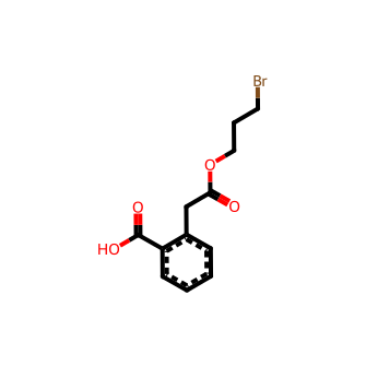 O=C(Cc1ccccc1C(=O)O)OCCCBr